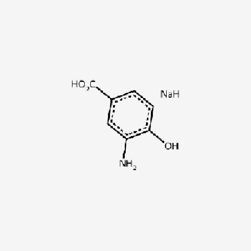 Nc1cc(C(=O)O)ccc1O.[NaH]